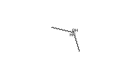 CCCCCCCCCCCCCCC[C@@H](O)[C@H](C)NCCCCCCCCCCCC